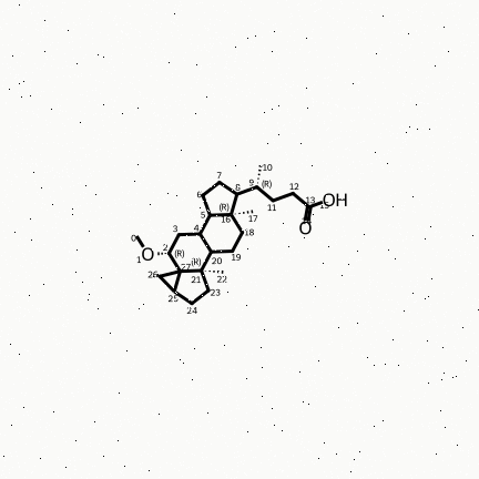 CO[C@@H]1CC2C3CCC([C@H](C)CCC(=O)O)[C@@]3(C)CCC2[C@@]2(C)CCC3CC312